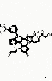 C=CC(=O)N1CCn2nc(-c3nc(-c4ccnc(N(C)C)c4)c4ccsc4c3-c3c(F)cc(F)cc3OCCO)cc2[C@H]1C